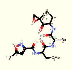 COCC(NC(=O)c1cc(C)on1)C(=O)N[C@H](C(=O)NC(CC(C)C)C(=O)C1(C)CO1)C(C)(C)C